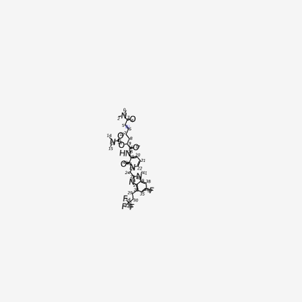 CN(C)C(=O)/C=C/CCC(OC(=O)N(C)C)C(=O)Nc1cccn(Cc2nc3c(CCC(F)(F)F)cc(F)cc3n2C)c1=O